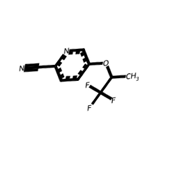 CC(Oc1ccc(C#N)nc1)C(F)(F)F